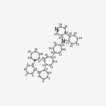 c1ccc2c(c1)-c1ccccc1-c1ccc(-c3ccc(-n4c5ccccc5c5ccncc54)cc3)cc1-c1ccccc1-2